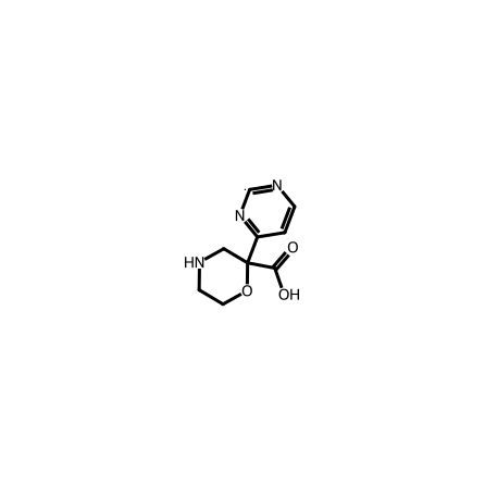 O=C(O)C1(c2ccn[c]n2)CNCCO1